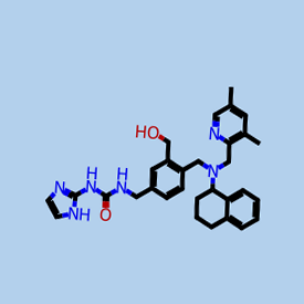 Cc1cnc(CN(Cc2ccc(CNC(=O)Nc3ncc[nH]3)cc2CO)C2CCCc3ccccc32)c(C)c1